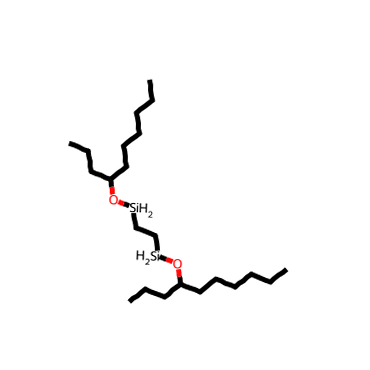 CCCCCCC(CCC)O[SiH2]CC[SiH2]OC(CCC)CCCCCC